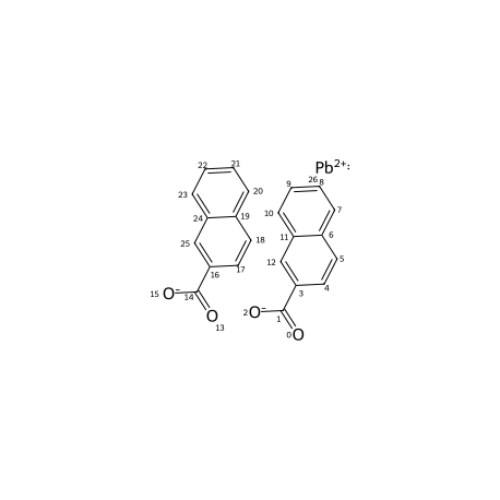 O=C([O-])c1ccc2ccccc2c1.O=C([O-])c1ccc2ccccc2c1.[Pb+2]